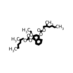 CCCCC(C)COC(=O)Oc1cc(OCC)c(OC(=O)OCC(C)CCCC)c2ccccc12